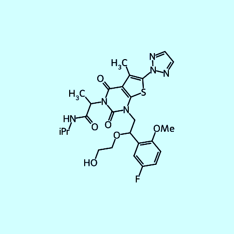 COc1ccc(F)cc1C(Cn1c(=O)n(C(C)C(=O)NC(C)C)c(=O)c2c(C)c(-n3nccn3)sc21)OCCO